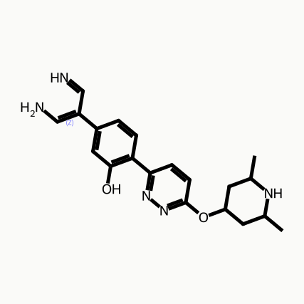 CC1CC(Oc2ccc(-c3ccc(/C(C=N)=C/N)cc3O)nn2)CC(C)N1